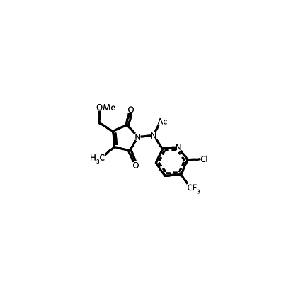 COCC1=C(C)C(=O)N(N(C(C)=O)c2ccc(C(F)(F)F)c(Cl)n2)C1=O